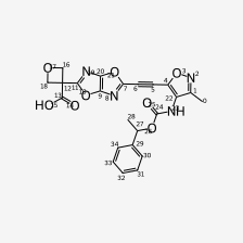 Cc1noc(C#Cc2nc3oc(C4(C(=O)O)COC4)nc3o2)c1NC(=O)OC(C)c1ccccc1